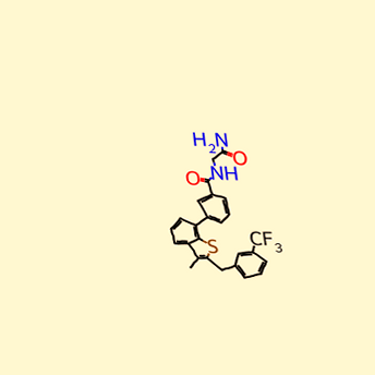 Cc1c(Cc2cccc(C(F)(F)F)c2)sc2c(-c3cccc(C(=O)NCC(N)=O)c3)cccc12